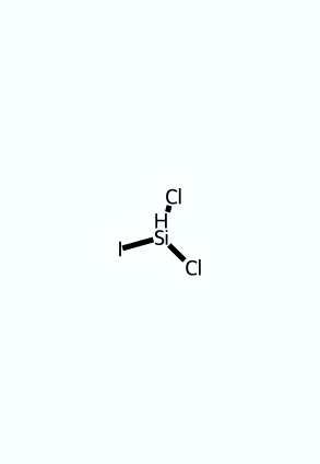 Cl[SiH](Cl)I